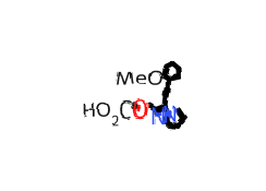 COc1ccccc1C#Cc1c(COCC(=O)O)nc2ccccn12